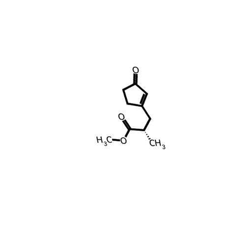 COC(=O)[C@@H](C)CC1=CC(=O)CC1